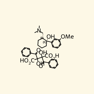 COc1cccc([C@@]2(O)CCCC[C@@H]2CN(C)C)c1.O=C(O)C(O)(C(=O)c1ccccc1)C(O)(C(=O)O)C(=O)c1ccccc1